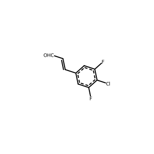 O=CC=Cc1cc(F)c(Cl)c(F)c1